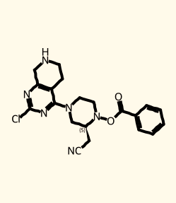 N#CC[C@H]1CN(c2nc(Cl)nc3c2CCNC3)CCN1OC(=O)c1ccccc1